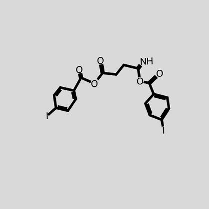 N=C(CCC(=O)OC(=O)c1ccc(I)cc1)OC(=O)c1ccc(I)cc1